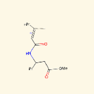 CCC/C(C)=C/C(=O)NC(CC(=O)OC)C(C)C